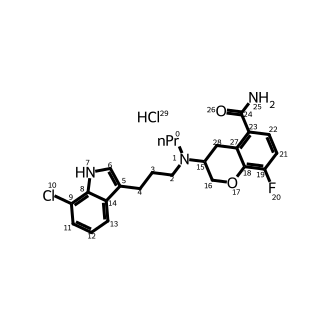 CCCN(CCCc1c[nH]c2c(Cl)cccc12)C1COc2c(F)ccc(C(N)=O)c2C1.Cl